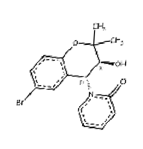 CC1(C)Oc2ccc(Br)cc2[C@@H](n2ccccc2=O)[C@@H]1O